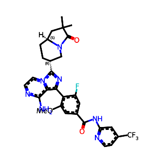 COc1cc(C(=O)Nc2cc(C(F)(F)F)ccn2)cc(F)c1-c1nc([C@@H]2CC[C@H]3CC(C)(C)C(=O)N3C2)n2ccnc(N)c12